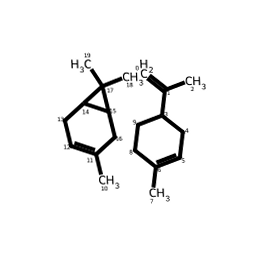 C=C(C)C1CC=C(C)CC1.CC1=CCC2C(C1)C2(C)C